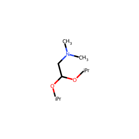 CC(C)OC(CN(C)C)OC(C)C